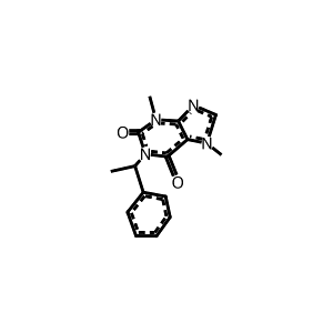 CC(c1ccccc1)n1c(=O)c2c(ncn2C)n(C)c1=O